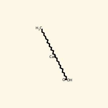 CCCCCCCCCCCCCCCCCCCCCCCCCCCCC(=O)O.[CaH2]